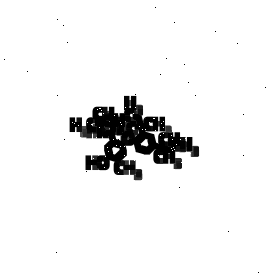 CCC(C)(C)c1ccc(Oc2cc(C)c(O)cc2C(=O)NC(C)(C)C)c(C(C)(C)CC)c1